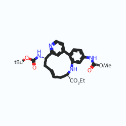 CCOC(=O)[C@@H]1C/C=C/C[C@H](NC(=O)OC(C)(C)C)c2cc(ccn2)-c2ccc(NC(=O)OC)cc2N1